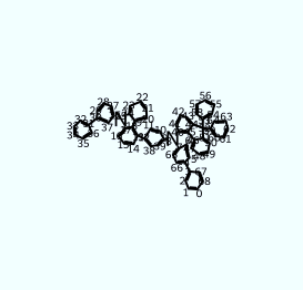 c1ccc(-c2ccc(N(c3ccc(-c4cccc5c4c4ccccc4n5-c4cccc(-c5ccccc5)c4)cc3)c3cccc4c3-c3ccccc3C4(c3ccccc3)c3ccccc3)cc2)cc1